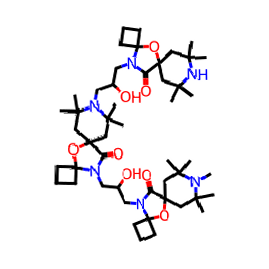 CN1C(C)(C)CC2(CC1(C)C)OC1(CCC1)N(CC(O)CN1C(=O)C3(CC(C)(C)N(CC(O)CN4C(=O)C5(CC(C)(C)NC(C)(C)C5)OC45CCC5)C(C)(C)C3)OC13CCC3)C2=O